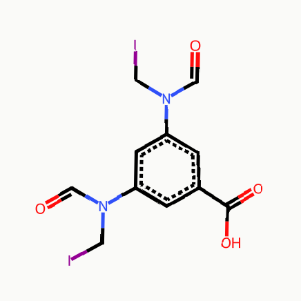 O=CN(CI)c1cc(C(=O)O)cc(N(C=O)CI)c1